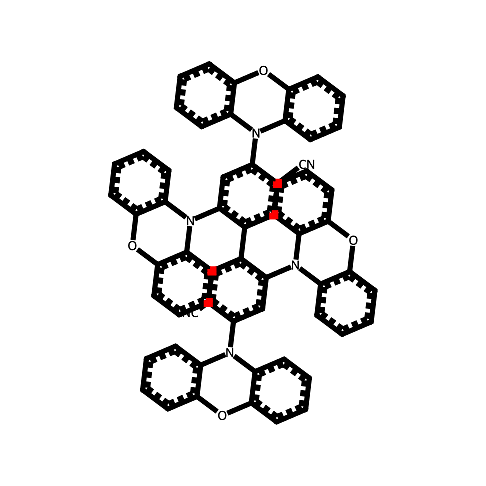 N#Cc1cc(-c2cc(C#N)c(N3c4ccccc4Oc4ccccc43)cc2N2c3ccccc3Oc3ccccc32)c(N2c3ccccc3Oc3ccccc32)cc1N1c2ccccc2Oc2ccccc21